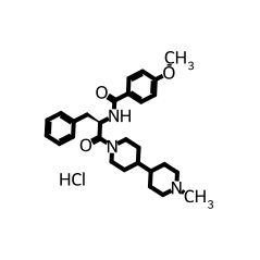 COc1ccc(C(=O)N[C@H](Cc2ccccc2)C(=O)N2CCC(C3CCN(C)CC3)CC2)cc1.Cl